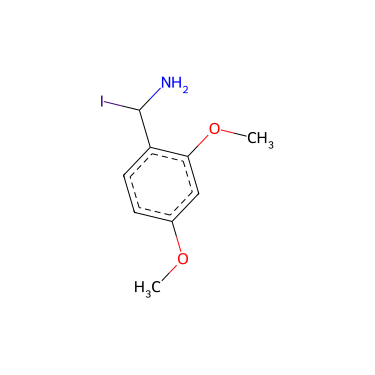 COc1ccc(C(N)I)c(OC)c1